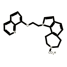 O=C(O)N1CCc2ccc3ccn(CCOc4cccc5cccnc45)c3c2CC1